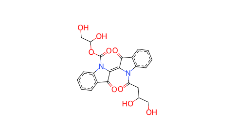 O=C1/C(=C2/C(=O)c3ccccc3N2C(=O)OC(O)CO)N(C(=O)CC(O)CO)c2ccccc21